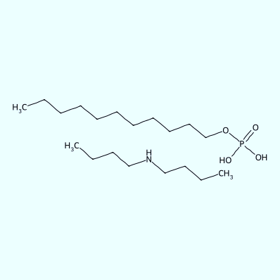 CCCCCCCCCCCOP(=O)(O)O.CCCCNCCCC